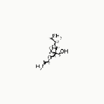 C=CCOCC(CO)(CO)COCC=C